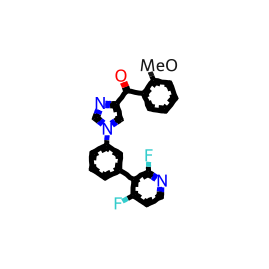 COc1ccccc1C(=O)c1cn(-c2cccc(-c3c(F)ccnc3F)c2)cn1